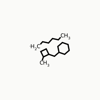 CC1CCC1CC1CCCCC1.[CH2]CCCCC